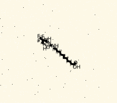 O=C(O)CCCCCCCCCCCNC(=O)Nc1nc(C(F)(F)F)c[nH]1